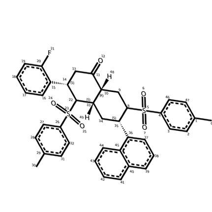 Cc1ccc(S(=O)(=O)C2C[C@H]3C(=O)C[C@@H](c4ccccc4F)C(S(=O)(=O)c4ccc(C)cc4)[C@H]3C[C@H]2c2cccc3ccccc23)cc1